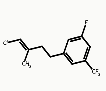 C/C(=C\Cl)CCc1cc(F)cc(C(F)(F)F)c1